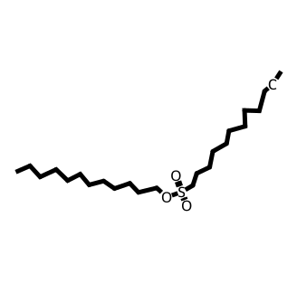 CCCCCCCCCCCCOS(=O)(=O)CCCCCCCCCCCC